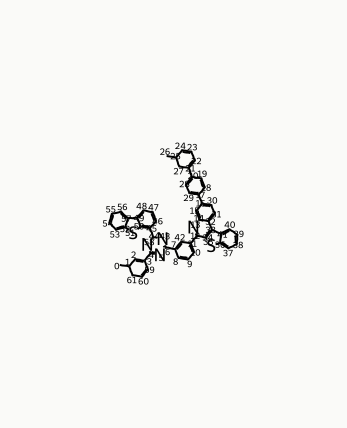 CC1C=C(c2nc(-c3cccc(-c4nc5cc(-c6ccc(C7=CC=CC(C)C7)cc6)ccc5c5c4sc4ccccc45)c3)nc(-c3cccc4c3sc3ccccc34)n2)C=CC1